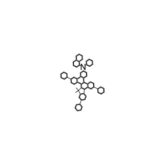 CC1(C)c2cc(-c3ccccc3)ccc2-c2c1c1c3ccc(-c4ccccc4)cc3c3cc(N(c4ccccc4)c4cccc5ccccc45)ccc3c1c1ccc(-c3ccccc3)cc21